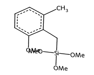 COc1cccc(C)c1C[Si](OC)(OC)OC